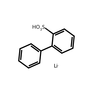 O=S(=O)(O)c1ccccc1-c1ccccc1.[Li]